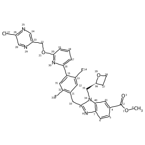 COC(=O)c1ccc2nc(Cc3cc(F)c(-c4cccc(OCc5cnc(Cl)cn5)n4)cc3F)n(C[C@@H]3CCO3)c2c1